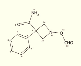 NC(=O)C1(c2ccccc2)CN(OC=O)C1